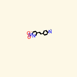 CN(C)c1ccc(C=Cc2ccc([N+](=O)[O-])nc2)cc1